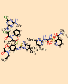 C#CCN1C(=O)COc2cc(F)c(/N=c3\snc4n3CC(C)(C)C4)cc21.CC1COc2ccccc2N1C(=O)C(Cl)Cl.CCNc1nc(Cl)nc(NC(C)C)n1.COc1cc(OC)nc(NC(=O)NS(=O)(=O)c2ncccc2C(=O)N(C)C)n1